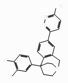 Cc1ccc(-c2ccc3c(c2)CN2CCC3(c3ccc(F)c(Cl)c3)CC2)nn1